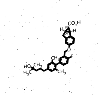 Cc1cc(CCCC(C)(C)O)cc(C)c1-c1ccc(F)c(COc2ccc3c(c2)C[C@H]2[C@H](C(=O)O)[C@@H]32)c1